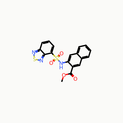 COC(=O)c1cc2ccccc2cc1NS(=O)(=O)c1cccc2nsnc12